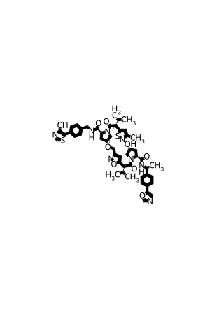 Cc1cc([C@H](C(=O)N2C[C@H](OCc3cc([C@H](C(=O)N4C[C@H](O)C[C@H]4C(=O)N[C@@H](C)c4ccc(-c5cnco5)cc4)C(C)C)on3)C[C@H]2C(=O)NCc2ccc(-c3scnc3C)cc2)C(C)C)sn1